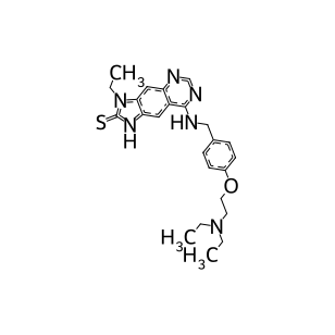 CCN(CC)CCOc1ccc(CNc2ncnc3cc4c(cc23)[nH]c(=S)n4CC)cc1